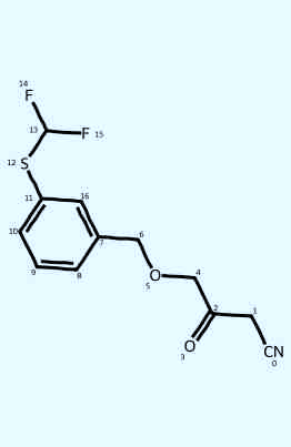 N#CCC(=O)COCc1cccc(SC(F)F)c1